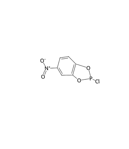 O=[N+]([O-])c1ccc2c(c1)OP(Cl)O2